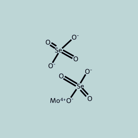 O=[Se](=O)([O-])[O-].O=[Se](=O)([O-])[O-].[Mo+4]